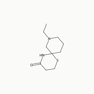 CCN1CCCC2(C1)NC(=O)CCS2